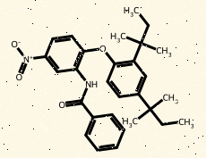 CCC(C)(C)c1ccc(Oc2ccc([N+](=O)[O-])cc2NC(=O)c2ccccc2)c(C(C)(C)CC)c1